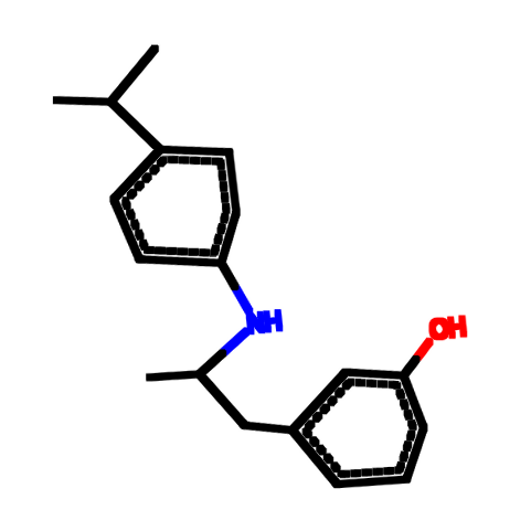 CC(Cc1cccc(O)c1)Nc1ccc(C(C)C)cc1